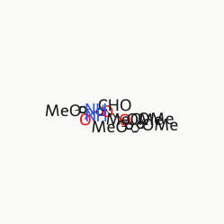 COc1ccc2c(c1)C(=O)NC(c1ccc(OCCCCCOc3c(OC)cc(/C=C\c4cc(OC)c(OC)c(OC)c4)cc3OC)c(C=O)c1)N2